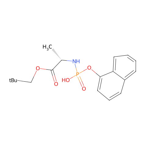 C[C@H](NP(=O)(O)Oc1cccc2ccccc12)C(=O)OCC(C)(C)C